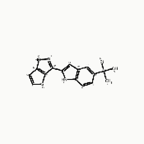 CC[C@](C)(O)c1ccc2[nH]c(-c3n[nH]c4ccsc34)cc2c1